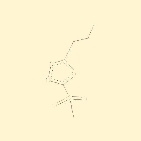 CCCc1nnc(S(C)(=O)=O)o1